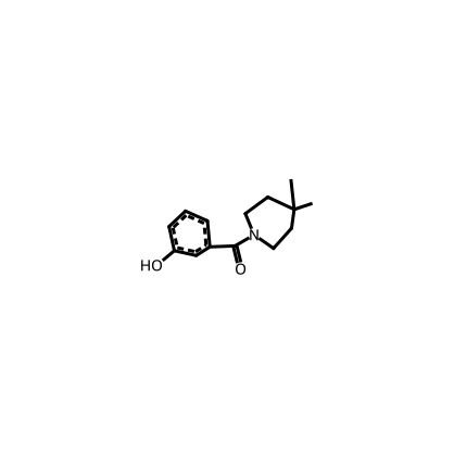 CC1(C)CCN(C(=O)c2cccc(O)c2)CC1